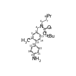 Cc1cc(CN(CCC(C)C)C(=O)OC(C)(C)C)ccc1-c1ccc(N)cc1